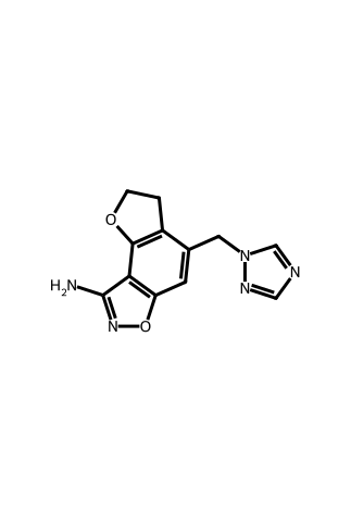 Nc1noc2cc(Cn3cncn3)c3c(c12)OCC3